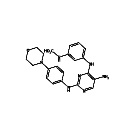 Nc1cnc(Nc2ccc(N3CCOCC3)cc2)nc1Nc1cccc(NC(=O)O)c1